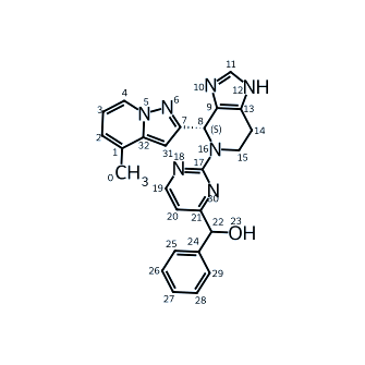 Cc1cccn2nc([C@@H]3c4nc[nH]c4CCN3c3nccc(C(O)c4ccccc4)n3)cc12